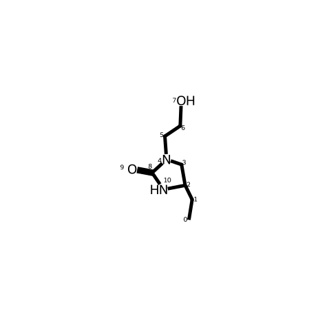 CCC1CN(CCO)C(=O)N1